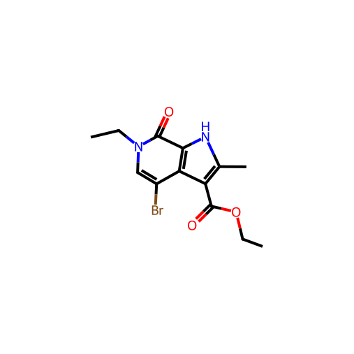 CCOC(=O)c1c(C)[nH]c2c(=O)n(CC)cc(Br)c12